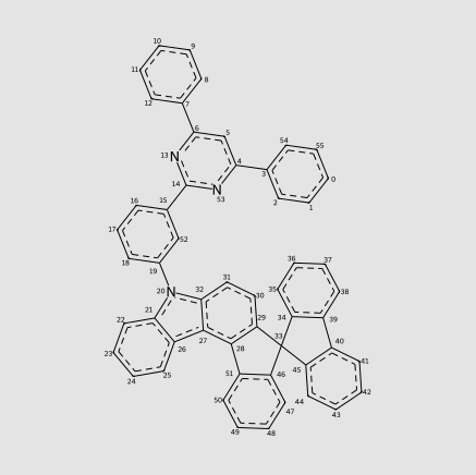 c1ccc(-c2cc(-c3ccccc3)nc(-c3cccc(-n4c5ccccc5c5c6c(ccc54)C4(c5ccccc5-c5ccccc54)c4ccccc4-6)c3)n2)cc1